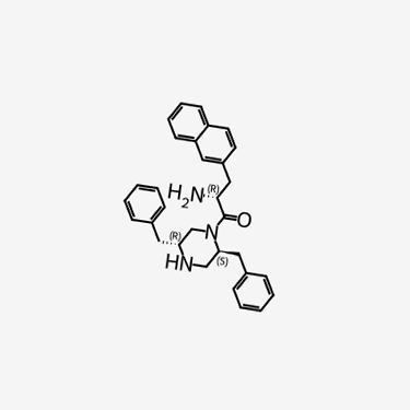 N[C@H](Cc1ccc2ccccc2c1)C(=O)N1C[C@@H](Cc2ccccc2)NC[C@@H]1Cc1ccccc1